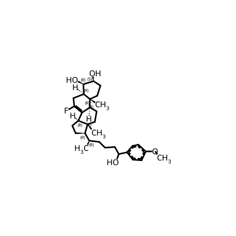 COc1ccc(C(O)CCC[C@@H](C)[C@H]2CC[C@H]3C4=C(F)C[C@H]5[C@@H](O)[C@@H](O)CC[C@]5(C)[C@H]4CC[C@]23C)cc1